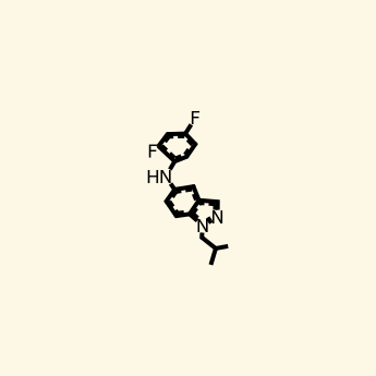 CC(C)Cn1ncc2cc(Nc3ccc(F)cc3F)ccc21